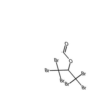 O=[C]OC(C(Br)(Br)Br)C(Br)(Br)Br